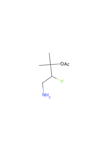 CC(=O)OC(C)(C)C(F)CN